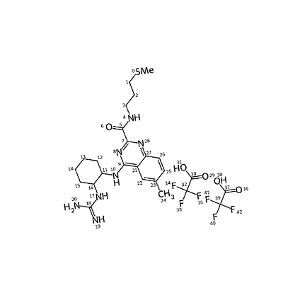 CSCCCNC(=O)c1nc(NC2CCCCC2NC(=N)N)c2cc(C)ccc2n1.O=C(O)C(F)(F)F.O=C(O)C(F)(F)F